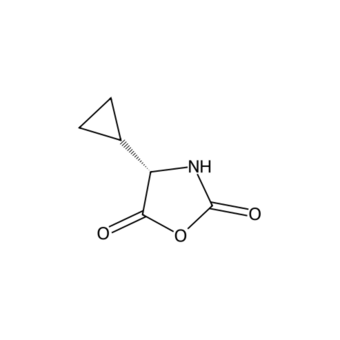 O=C1N[C@@H](C2CC2)C(=O)O1